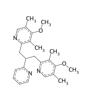 COc1c(C)cnc(CC(Cc2ncc(C)c(OC)c2C)c2ccccn2)c1C